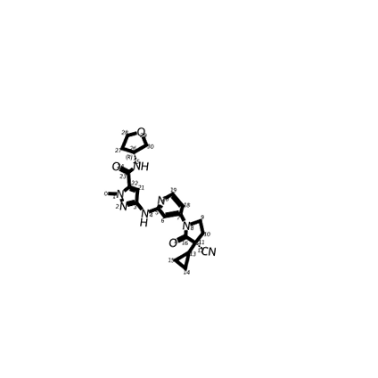 Cn1nc(Nc2cc(N3CC[C@@](C#N)(C4CC4)C3=O)ccn2)cc1C(=O)N[C@@H]1CCOC1